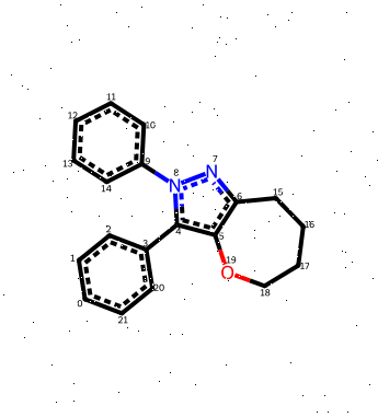 c1ccc(-c2c3c(nn2-c2ccccc2)CCCCO3)cc1